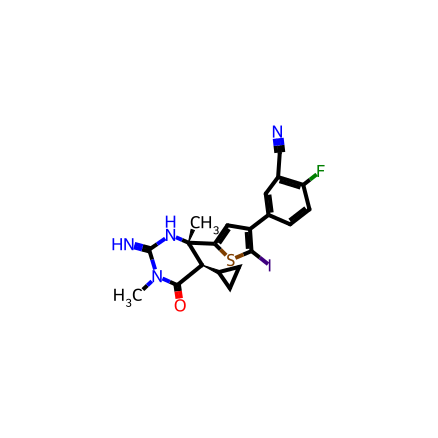 CN1C(=N)N[C@](C)(c2cc(-c3ccc(F)c(C#N)c3)c(I)s2)[C@@H](C2CC2)C1=O